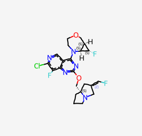 F/C=C1\CN2CCC[C@@]2(COc2nc(N3CCOC[C@H]4[C@H](F)[C@H]43)c3cnc(Cl)c(F)c3n2)C1